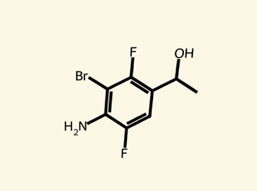 CC(O)c1cc(F)c(N)c(Br)c1F